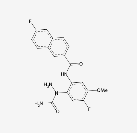 COc1cc(NC(=O)c2ccc3cc(F)ccc3c2)c(N(N)C(N)=O)cc1F